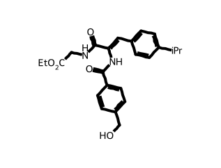 CCOC(=O)CNC(=O)/C(=C/c1ccc(C(C)C)cc1)NC(=O)c1ccc(CO)cc1